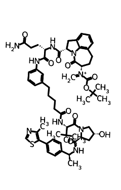 C=[N+](C(=O)OC(C)(C)C)[C@H]1CCc2cccc3c2N(C1=O)[C@H](C(=O)N[C@@H](CCC(N)=O)C(=O)Nc1cccc(CCCCC(=O)N[C@H](C(=O)N2C[C@H](O)C[C@H]2C(=O)N[C@@H](C)c2ccc(-c4scnc4C)cc2)C(C)(C)C)c1)C3